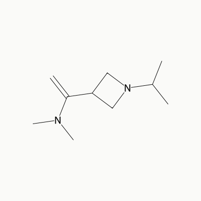 C=C(C1CN(C(C)C)C1)N(C)C